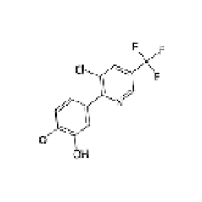 [O]c1ccc(-c2ncc(C(F)(F)F)cc2Cl)cc1O